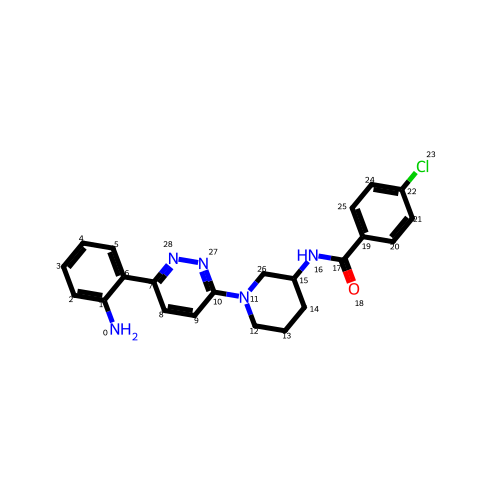 Nc1ccccc1-c1ccc(N2CCCC(NC(=O)c3ccc(Cl)cc3)C2)nn1